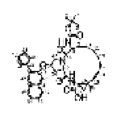 CC(C)(C)OC(=O)N[C@H]1CCCCC/C=C\[C@@H]2C[C@@]2(C(=O)O)NC(=O)C2C[C@@H](Oc3cc4ccccc4cc3-c3cccs3)CN2C1=O